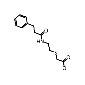 [O]C(=O)CSCCNC(=O)CCc1ccccc1